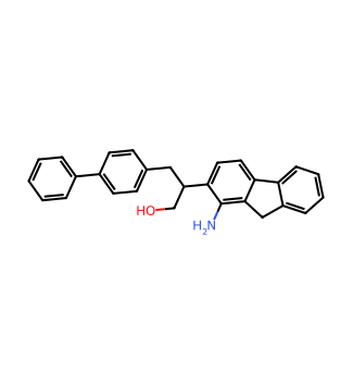 Nc1c(C(CO)Cc2ccc(-c3ccccc3)cc2)ccc2c1Cc1ccccc1-2